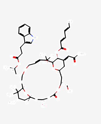 CCC/C=C/C=C/C(=O)O[C@H]1/C(=C/C(=O)OC)C[C@H]2C[C@H](CO)OC(=O)C[C@H](O)C[C@@H]3C[C@H](OC(C)=O)C(C)(C)[C@](OC)(C[C@H](C[C@@H](C)OC(=O)CCc4c[nH]c5ccccc45)OC/C=C/C(C)(C)[C@]1(O)O2)O3